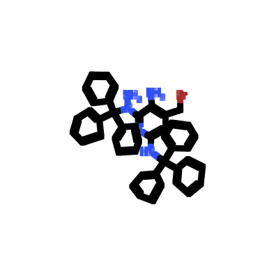 Nc1c(CBr)cc(NC(c2ccccc2)(c2ccccc2)c2ccccc2)nc1N(N)C(c1ccccc1)(c1ccccc1)c1ccccc1